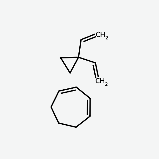 C1=CCCCC=C1.C=CC1(C=C)CC1